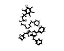 CC1=C(C)C(=O)C(C(C)(C)CC(=O)N(C)CCCN(CCCN2CCOCC2)c2c(Cc3ccco3)nc3c(Cc4ccccc4)nc(-c4ccccc4)cn23)=C(C)C1=O